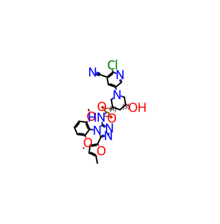 COc1cccc(OC)c1-n1c(NS(=O)(=O)[C@@H]2C[C@H](O)CN(c3cnc(Cl)c(C#N)c3)C2)nnc1-c1ccc(C)o1